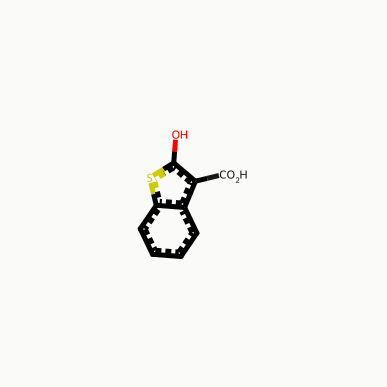 O=C(O)c1c(O)sc2ccccc12